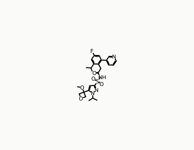 COC1(c2cc(S(=O)(=O)NC(=O)Cc3c(-c4cccnc4)cc(F)cc3C(C)C)nn2C(C)C)COC1